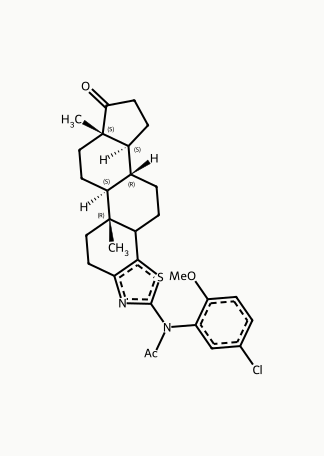 COc1ccc(Cl)cc1N(C(C)=O)c1nc2c(s1)C1CC[C@@H]3[C@H](CC[C@]4(C)C(=O)CC[C@@H]34)[C@@]1(C)CC2